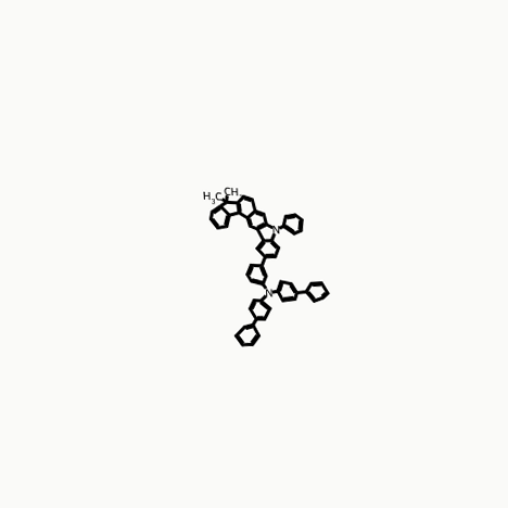 CC1(C)c2ccccc2-c2c1ccc1cc3c(cc21)c1cc(-c2cccc(N(c4ccc(-c5ccccc5)cc4)c4ccc(-c5ccccc5)cc4)c2)ccc1n3-c1ccccc1